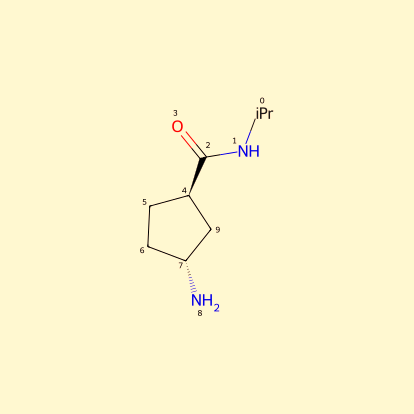 CC(C)NC(=O)[C@@H]1CC[C@@H](N)C1